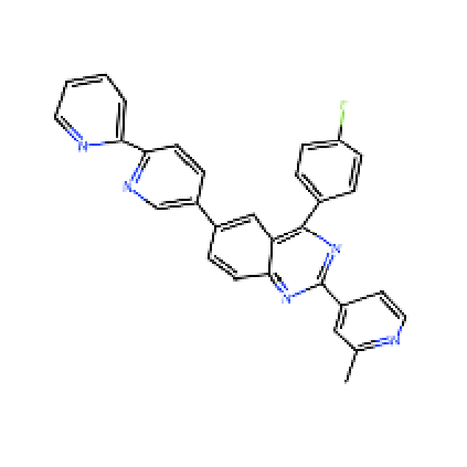 Cc1cc(-c2nc(-c3ccc(F)cc3)c3cc(-c4ccc(-c5ccccn5)nc4)ccc3n2)ccn1